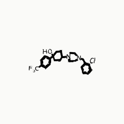 OC1(c2ccc(C(F)(F)F)cc2)CCC(N2CCN(Cc3ccccc3Cl)CC2)CC1